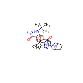 Cc1cc(C(N)=O)c(NC(C)(C)C)cc1C(=O)NC1CC2CCC(C1)N2c1ccc(C(=O)C2CC2)cn1